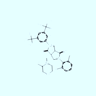 Cc1cccc(C)c1N1C[C@@](CN2CCOCC2C)(C(=O)Nc2cc(C(F)(F)F)cc(C(F)(F)F)c2)C(C)C1=O